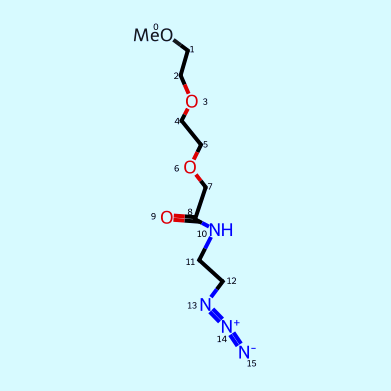 COCCOCCOCC(=O)NCCN=[N+]=[N-]